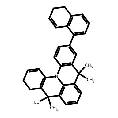 CC1(C)C2=C(C=CCC2)N2c3ccc(-c4cccc5c4C=CCC5)cc3C(C)(C)c3cccc1c32